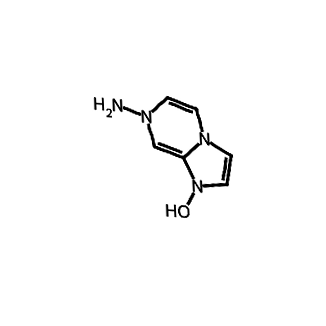 NN1C=CN2C=CN(O)C2=C1